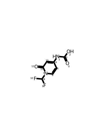 O=C(O)Nc1ccn(C(F)F)c(=O)c1